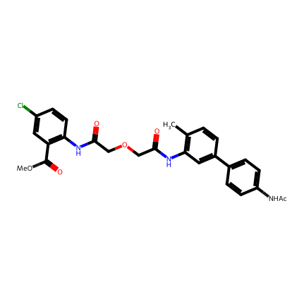 COC(=O)c1cc(Cl)ccc1NC(=O)COCC(=O)Nc1cc(-c2ccc(NC(C)=O)cc2)ccc1C